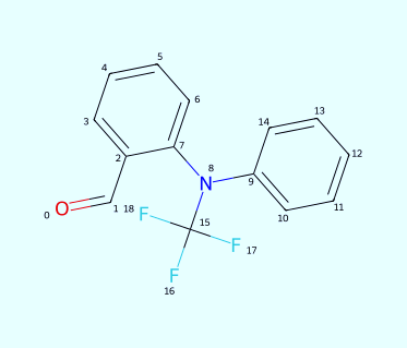 O=Cc1ccccc1N(c1ccccc1)C(F)(F)F